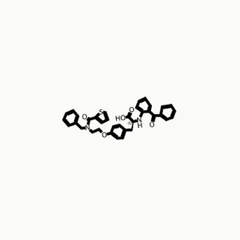 O=C(c1ccccc1)c1ccccc1N[C@@H](Cc1ccc(OCCN(Cc2ccccc2)C(=O)c2cccs2)cc1)C(=O)O